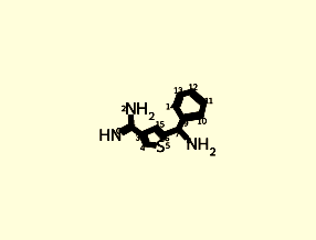 N=C(N)c1csc(C(N)c2ccccc2)c1